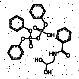 O=C(NCC(O)O)c1ccccc1.O=P(O)(Oc1ccccc1)OP(=O)(Oc1ccccc1)Oc1ccccc1